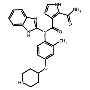 Cc1cc(OC2CCNCC2)ccc1N(C(=O)c1nc[nH]c1C(N)=O)c1nc2ccccc2[nH]1